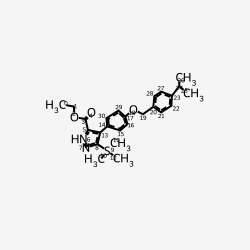 CCOC(=O)c1[nH]nc(S(C)(C)C)c1-c1ccc(OCc2ccc(C(C)C)cc2)cc1